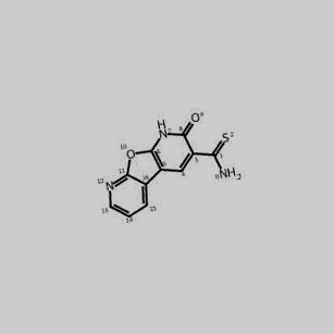 NC(=S)c1cc2c([nH]c1=O)oc1ncccc12